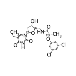 CCc1cn([C@@H]2CC(O)[C@H](CNC(=O)[C@H](C)Oc3cc(Cl)cc(Cl)c3)O2)c(=O)[nH]c1=O